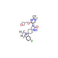 CN(C)[C@]1(c2cccc(F)c2)CC[C@@]2(CC1)CN(c1cnc(C(F)(F)F)nc1OCC1COC1)C(=O)N2